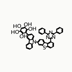 Oc1c(O)c(O)c(-c2ccc3c(c2)c2ccccc2n3-c2ccc3c(c2)sc2cccc(-c4nc(-c5ccccc5)nc(-c5ccccc5)n4)c23)c(O)c1O